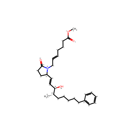 COC(=O)CCCC=CCN1C(=O)CCC1C=C[C@@H](O)[C@@H](C)CCCCCc1ccccc1